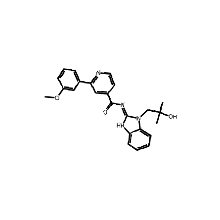 COc1cccc(-c2cc(C(=O)/N=c3\[nH]c4ccccc4n3CC(C)(C)O)ccn2)c1